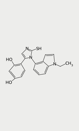 CCn1ccc2c(-n3c(-c4ccc(O)cc4O)cnc3S)cccc21